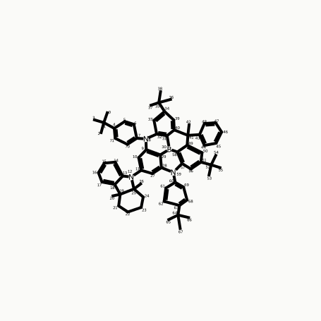 CC(C)(C)c1ccc(N2c3cc(N4c5ccccc5C5(C)CCCCC45C)cc4c3B3c5c2cc(C(C)(C)C)cc5C(C)(c2ccccc2)c2cc(C(C)(C)C)cc(c23)N4c2ccc(C(C)(C)C)cc2)cc1